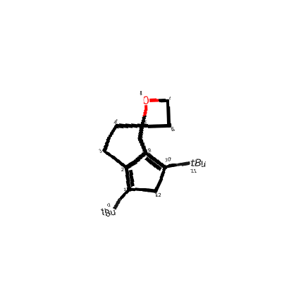 CC(C)(C)C1=C2CCC3(CCO3)C2=C(C(C)(C)C)C1